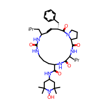 CC(C)CC1/C=C/[C@H](Cc2ccccc2)C(=O)N2CCCC2C(=O)NC(C(C)C)C(=O)NC(C(=O)NC2CC(C)(C)N(O)C(C)(C)C2)CCCNC(=O)N1